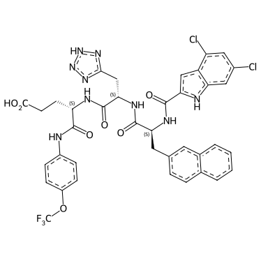 O=C(O)CC[C@H](NC(=O)[C@H](Cc1nn[nH]n1)NC(=O)[C@H](Cc1ccc2ccccc2c1)NC(=O)c1cc2c(Cl)cc(Cl)cc2[nH]1)C(=O)Nc1ccc(OC(F)(F)F)cc1